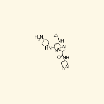 N[C@H]1CC[C@H](NC2=NN3C(=NCC3C(=O)Nc3ccnnc3)C(NC3CC3)=C2)CC1